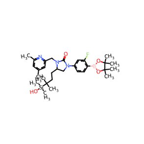 Cc1cc(C)nc(CN2C(=O)N(c3ccc(B4OC(C)(C)C(C)(C)O4)c(F)c3)CC2CCC(C)(C)[Si](C)(C)O)c1